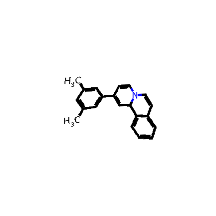 Cc1cc(C)cc(C2=CC3c4ccccc4C=CN3C=C2)c1